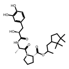 CC(CC1CCC(C)(C)C1(C)C)OC(=O)[C@@H]1CCCN1C(=O)[C@H](C)NC(=O)[C@@H](O)Cc1ccc(O)c(O)c1